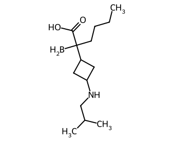 BC(CCCC)(C(=O)O)C1CC(NCC(C)C)C1